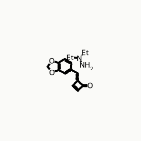 CCN(N)CC.O=C1C=CC1=Cc1ccc2c(c1)OCO2